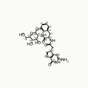 Nc1nc2c(ncn2CC(=O)NC(Cc2ccccc2)C(=O)N[C@H]2C(O)OC(CO)[C@@H](O)C2O)c(=O)[nH]1